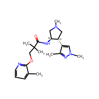 Cc1cccnc1OCC(C)(C)C(=O)N[C@H]1CN(C)C[C@@H]1c1cn(C)nc1C